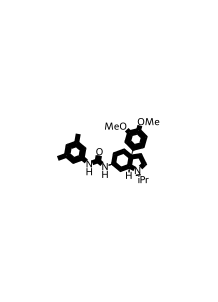 COc1ccc([C@@]23CC[C@@H](NC(=O)Nc4cc(C)cc(C)c4)C[C@@H]2N(C(C)C)CC3)cc1OC